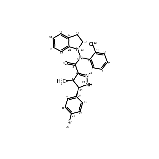 C[C@H]1C(C(=O)N(c2ccccc2Cl)N2CCc3ccccc32)=NN[C@H]1c1ccc(Br)cc1